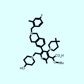 Cc1cc(F)ccc1CN1CCc2cc(-c3c(CN4CCC(O)CC4)nc(C)c(C(OC(C)(C)C)C(=O)O)c3N3CCC(C)(C)CC3)ccc2C1